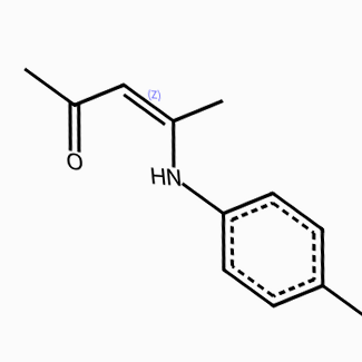 CC(=O)/C=C(/C)Nc1ccc(C)cc1